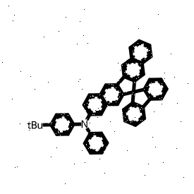 CC(C)(C)c1ccc(N(c2ccccc2)c2ccc3cc4c(cc3c2)C2(c3ccccc3-c3ccccc32)c2cc3ccccc3cc2-4)cc1